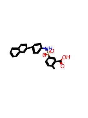 Cc1ccc(S(=O)(=O)Nc2ccc(-c3ccc4ccccc4c3)cc2)cc1C(=O)O